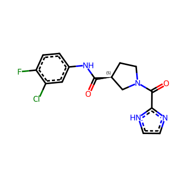 O=C(Nc1ccc(F)c(Cl)c1)[C@H]1CCN(C(=O)c2ncc[nH]2)C1